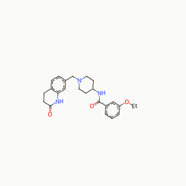 CCOc1cccc(C(=O)NC2CCN(Cc3ccc4c(c3)NC(=O)CC4)CC2)c1